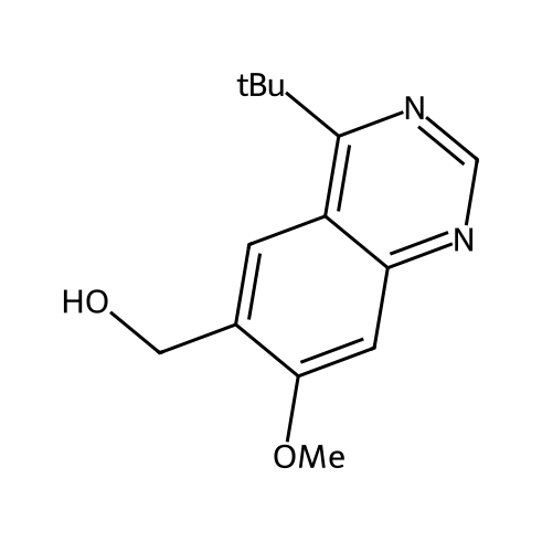 COc1cc2ncnc(C(C)(C)C)c2cc1CO